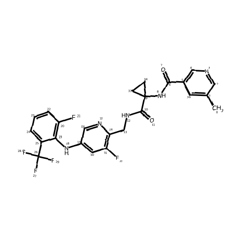 Cc1cncc(C(=O)NC2(C(=O)NCc3ncc(Nc4c(F)cccc4C(F)(F)F)cc3F)CC2)c1